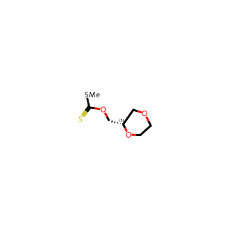 C[SH2]C(=S)OC[C@@H]1COCCO1